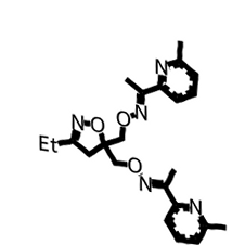 CCC1=NOC(CO/N=C(\C)c2cccc(C)n2)(CO/N=C(\C)c2cccc(C)n2)C1